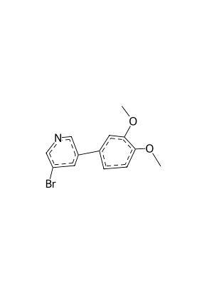 COc1ccc(-c2cncc(Br)c2)cc1OC